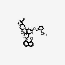 C[C@@H]1Cn2cnc(F)c2CN1c1nc(OC[C@@H]2CCCN2C)nc2c1CO[C@H](c1cccc3cccc(Cl)c13)C2